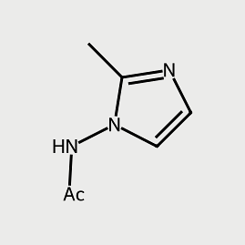 CC(=O)Nn1ccnc1C